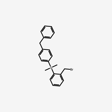 C[Si](C)(c1ccc(Cc2ccccc2)cc1)c1ccccc1CBr